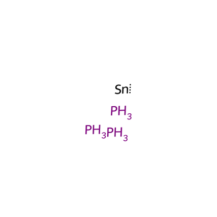 P.P.P.[Sn]